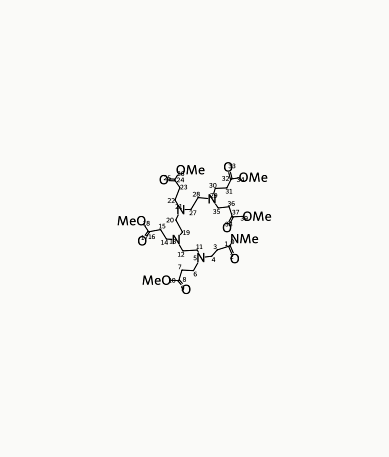 CNC(=O)CCN(CCC(=O)OC)CCN(CCC(=O)OC)CCN(CCC(=O)OC)CCN(CCC(=O)OC)CCC(=O)OC